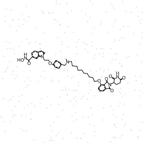 CN(CCCCCCCCCCOc1cccc2c1C(=O)N(C1CCC(=O)NC1=O)C2=O)Cc1ccc(OCCn2ccc3ccc(C(=O)NO)cc32)cc1